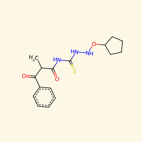 CC(C(=O)NC(=S)NNOC1CCCC1)C(=O)c1ccccc1